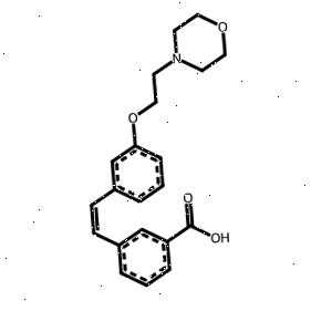 O=C(O)c1cccc(/C=C\c2cccc(OCCN3CCOCC3)c2)c1